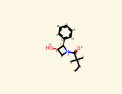 CCC(C)(C)C(=O)N1C[C@@H](O)[C@H]1c1ccccc1